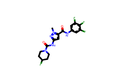 Cn1nc(NC(=O)N2CCC(F)CC2)cc1C(=O)Nc1cc(F)c(F)c(F)c1